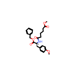 COC(=O)CCCCC(=O)N[C@@H](Cc1ccc(OC)cc1)C(=O)OCc1ccccc1